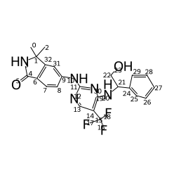 CC1(C)NC(=O)c2ccc(Nc3ncc(C(F)(F)F)c(NC(CO)c4ccccc4)n3)cc21